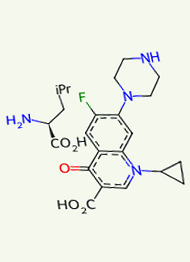 CC(C)C[C@H](N)C(=O)O.O=C(O)c1cn(C2CC2)c2cc(N3CCNCC3)c(F)cc2c1=O